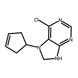 Clc1ncnc2c1N(C1CC=CC1)CN2